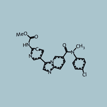 COC(=O)Nc1ccc(-c2cnc3ccc(C(=O)N(C)c4ccc(Cl)cc4)cn23)cn1